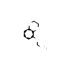 N#CCOc1cccc2c1OCCO2